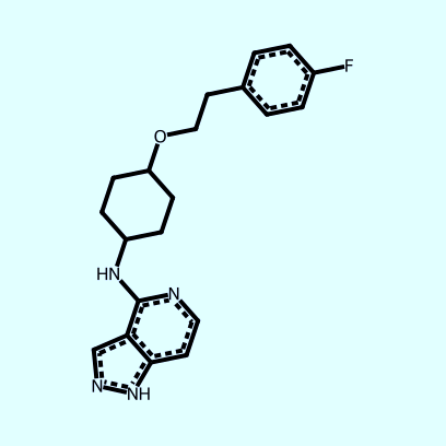 Fc1ccc(CCOC2CCC(Nc3nccc4[nH]ncc34)CC2)cc1